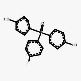 O=P(c1ccc(O)cc1)(c1ccc(O)cc1)c1ccc(F)cc1